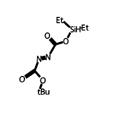 CC[SiH](CC)OC(=O)N=NC(=O)OC(C)(C)C